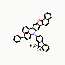 CC1(C)c2ccccc2-c2ccc(N(c3ccc(-c4ccccc4)cc3)c3cc4c(cc3-c3ccccc3)oc3c5ccccc5ccc43)cc21